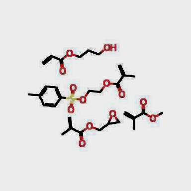 C=C(C)C(=O)OC.C=C(C)C(=O)OCC1CO1.C=C(C)C(=O)OCCOS(=O)(=O)c1ccc(C)cc1.C=CC(=O)OCCCO